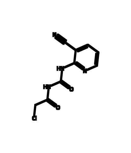 N#Cc1cccnc1NC(=O)NC(=O)CCl